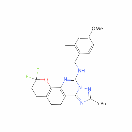 CCCCc1nc2c3ccc4c(c3nc(NCc3ccc(OC)cc3C)n2n1)OC(F)(F)CC4